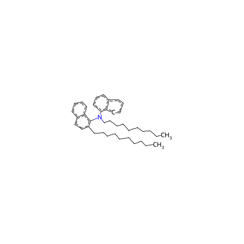 CCCCCCCCCCc1ccc2ccccc2c1N(CCCCCCCCCC)c1cccc2ccccc12